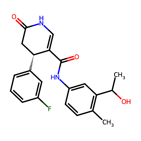 Cc1ccc(NC(=O)C2=CNC(=O)C[C@H]2c2cccc(F)c2)cc1C(C)O